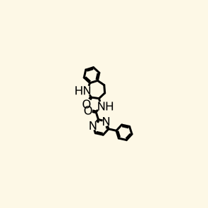 O=C(NC1CCc2ccccc2NC1=O)c1nccc(-c2ccccc2)n1